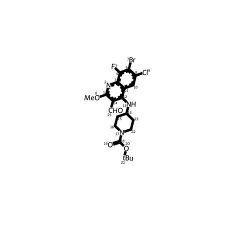 COc1nc2c(F)c(Br)c(Cl)cc2c(NC2CCN(C(=O)OC(C)(C)C)CC2)c1C=O